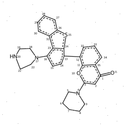 O=c1cc(N2CCCCC2)oc2c(-c3ccc(N4CCNCC4)c4c3sc3ccccc34)cccc12